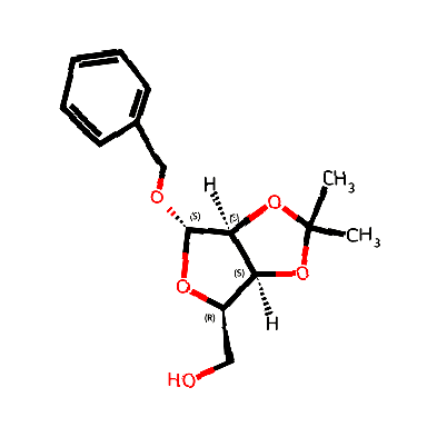 CC1(C)O[C@@H]2[C@@H](OCc3ccccc3)O[C@H](CO)[C@@H]2O1